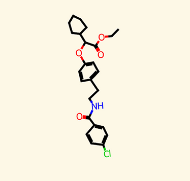 CCOC(=O)C(Oc1ccc(CCNC(=O)c2ccc(Cl)cc2)cc1)C1CCCCC1